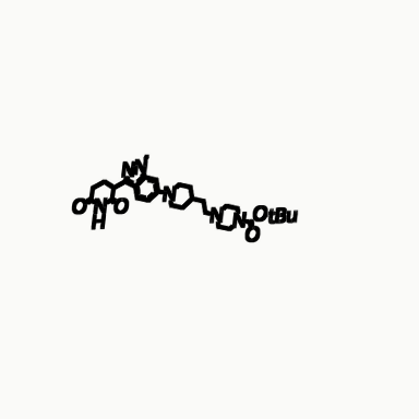 Cn1nc(C2CCC(=O)NC2=O)c2ccc(N3CCC(CCN4CCN(C(=O)OC(C)(C)C)CC4)CC3)cc21